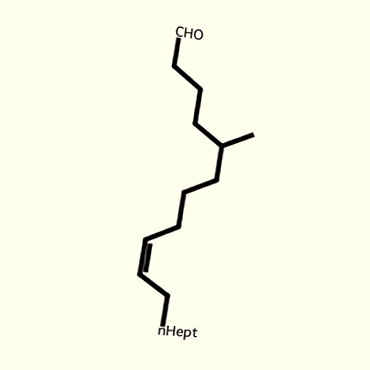 CCCCCCCC/C=C\CCCC(C)CCCC=O